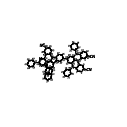 N#Cc1ccc2c(c1)B1c3cc(C#N)ccc3N(c3ccccc3)c3cc(-c4ccc5c(c4)c4cc(-c6ccccc6)ccc4n5-c4ccc(C#N)cc4-c4nc(-c5ccccc5)nc(-c5ccccc5)n4)cc(c31)N2c1ccccc1